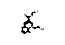 CCOC(=O)C1=Cc2cccc(F)c2N(CCO)C1